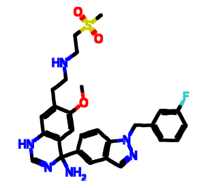 COc1cc2c(cc1CCNCCS(C)(=O)=O)NC=NC2(N)c1ccc2c(cnn2Cc2cccc(F)c2)c1